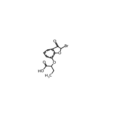 CCC(Oc1cccc2c1OC(Br)C2=O)C(=O)O